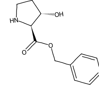 O=C(OCc1ccccc1)[C@H]1NCC[C@@H]1O